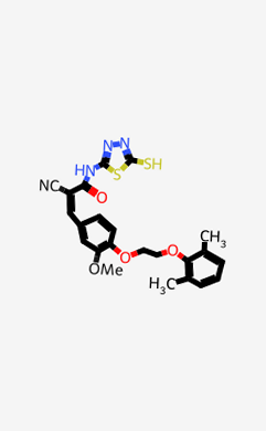 COc1cc(C=C(C#N)C(=O)Nc2nnc(S)s2)ccc1OCCOc1c(C)cccc1C